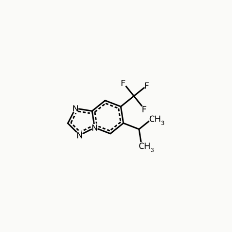 CC(C)c1cn2ncnc2cc1C(F)(F)F